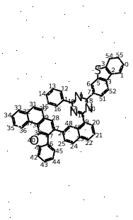 C1=Cc2c(sc3cc(-c4nc(-c5ccccc5)nc(-c5cccc6ccc(-c7cc8ccc9ccccc9c8c8oc9ccccc9c78)cc56)n4)ccc23)CC1